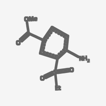 CCS(=O)(=O)c1cc(C(=O)OC)ccc1N